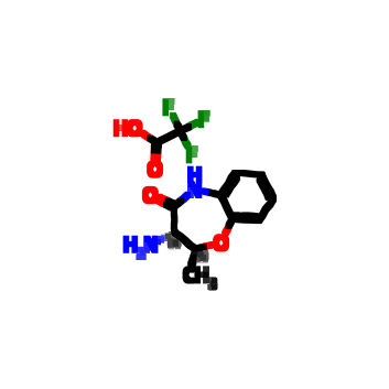 C[C@@H]1Oc2ccccc2NC(=O)[C@H]1N.O=C(O)C(F)(F)F